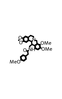 COc1ccc(CC(=O)NCC2c3ccc(OC)c(OC)c3CN3CCc4cc5c(cc4C23)OCO5)cc1